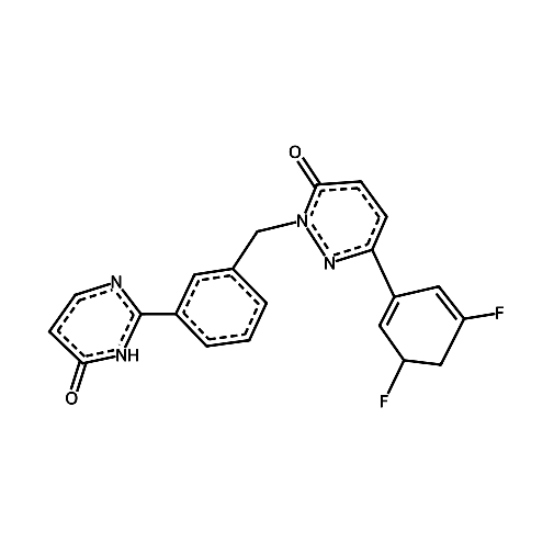 O=c1ccnc(-c2cccc(Cn3nc(C4=CC(F)CC(F)=C4)ccc3=O)c2)[nH]1